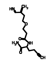 C#CCCC(NC(=O)CCOCCC(=C)C=N)C(N)=O